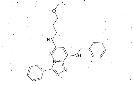 COCCCNc1cc(NCc2ccccc2)c2nnc(-c3ccccc3)n2n1